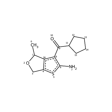 CC1OCc2sc(N)c(C(=O)C3CCCC3)c21